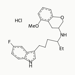 CCC(CCCc1c[nH]c2ccc(F)cc12)NC1COc2cccc(OC)c2C1.Cl